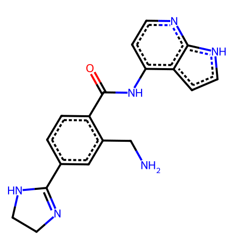 NCc1cc(C2=NCCN2)ccc1C(=O)Nc1ccnc2[nH]ccc12